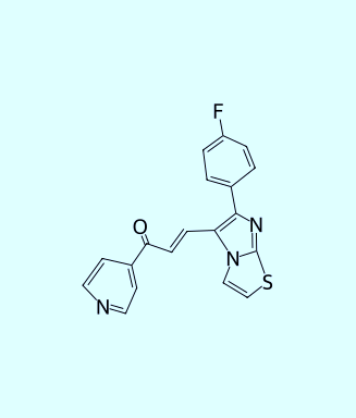 O=C(C=Cc1c(-c2ccc(F)cc2)nc2sccn12)c1ccncc1